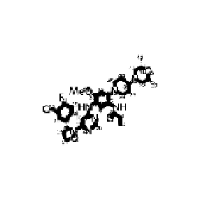 C=CC(=O)Nc1cc(Nc2cc(N3OCC[C@@H]3c3ccc(F)c(Cl)c3)ncn2)c(OC)cc1N1CCC(N2C[C@@H](C)O[C@@H](C)C2)CC1